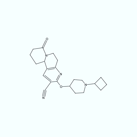 N#Cc1cc2c(nc1OC1CCN(C3CCC3)CC1)CCN1C(=O)CCCC21